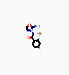 Br.N=c1occn1CC(=O)c1ccc(F)cc1F